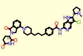 CN1CCC[C@@H]1c1[nH]c2cc(NC(=O)c3ccc(CCCC4CCN(c5cccc6c5CN([C@H]5CCC(=O)NC5=O)C6=O)CC4)cc3)ncc2c1Cl